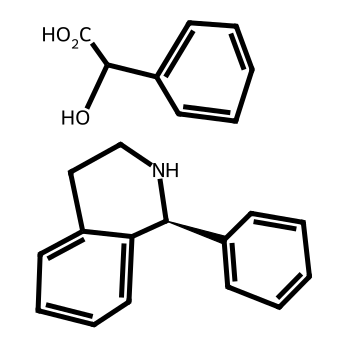 O=C(O)C(O)c1ccccc1.c1ccc([C@@H]2NCCc3ccccc32)cc1